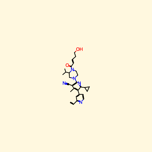 C=Cc1cc(-c2c(C3CC3)nc(N3CCN(C(=O)/C=C/CCO)C(C(C)C)C3)c(C#N)c2C)ccn1